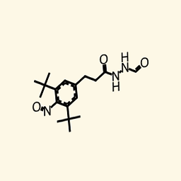 CC(C)(C)c1cc(CCC(=O)NNC=O)cc(C(C)(C)C)c1N=O